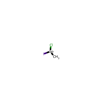 [CH3][Sn]([Cl])[I]